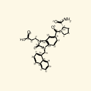 NC(=O)[C@@H]1CCCN1C(=O)c1ccc2c(c1)n(CCC(=O)O)c(=O)n2Cc1cccc2ccccc12